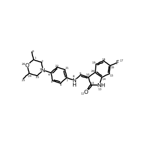 CC1CN(c2ccc(NC=C3C(=O)Nc4cc(F)ccc43)cc2)CC(C)O1